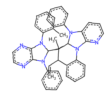 C=CC1c2ccccc2N2c3ncccc3N(c3ccccc3)C2C1(C)C1N(c2ccccc2)c2nccnc2N1c1ccccc1C